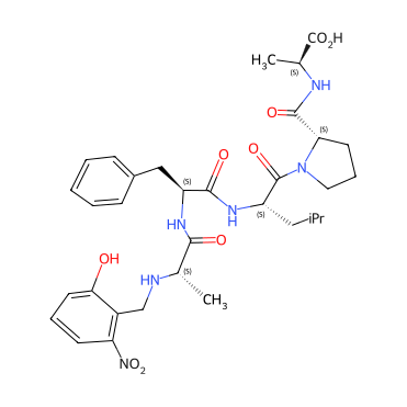 CC(C)C[C@H](NC(=O)[C@H](Cc1ccccc1)NC(=O)[C@H](C)NCc1c(O)cccc1[N+](=O)[O-])C(=O)N1CCC[C@H]1C(=O)N[C@@H](C)C(=O)O